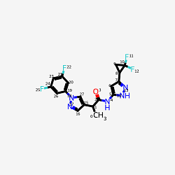 CC(C(=O)Nc1cc(C2CC2(F)F)n[nH]1)c1cnn(-c2cc(F)cc(F)c2)c1